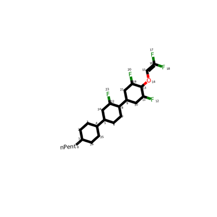 CCCCCC1CCC(C2CCC(C3CC(F)C(OC=C(F)F)C(F)C3)C(F)C2)CC1